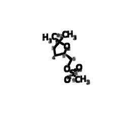 CC1(C)CC[C@H](COS(C)(=O)=O)O1